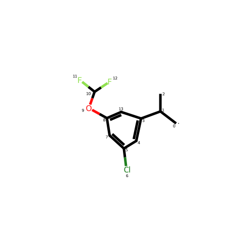 [CH2]C(C)c1cc(Cl)cc(OC(F)F)c1